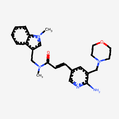 CN(Cc1cn(C)c2ccccc12)C(=O)C=Cc1cnc(N)c(CN2CCOCC2)c1